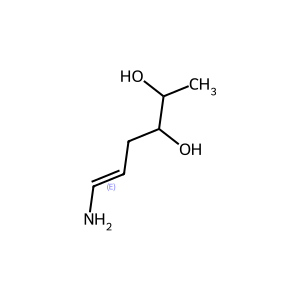 CC(O)C(O)C/C=C/N